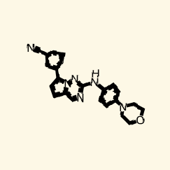 N#Cc1cccc(-c2ccc3cnc(Nc4ccc(N5CCOCC5)cc4)nn23)c1